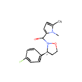 Cn1c(C#N)ccc1C(=O)N1OCC[C@H]1c1ccc(F)cc1